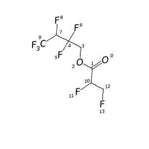 O=C(OCC(F)(F)C(F)C(F)(F)F)C(F)CF